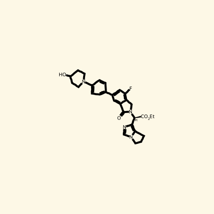 CCOC(=O)[C@@H](c1ncn2c1CCC2)N1Cc2c(F)cc(-c3ccc(N4CCC(O)CC4)cc3)cc2C1=O